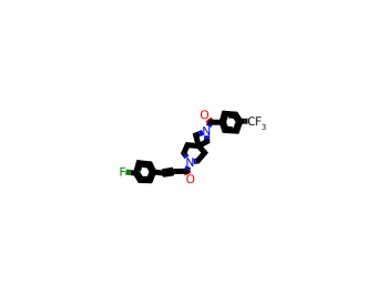 O=C(C#Cc1ccc(F)cc1)N1CCC2(CC1)CN(C(=O)c1ccc(C(F)(F)F)cc1)C2